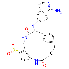 Nc1nccc2cc(NC3C(=O)NCc4cc(ccc4[SH](=O)=O)NC(=O)CCCc4ccc3cc4)ccc12